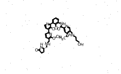 COc1cc(C(=O)Nc2cccc(-c3nccc(-c4ccc(CNC[C@@H]5CCC(=O)N5)c(OC)n4)c3Cl)c2Cl)ncc1CNCCCO